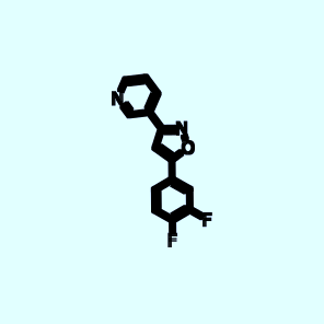 Fc1ccc(-c2cc(-c3cccnc3)no2)cc1F